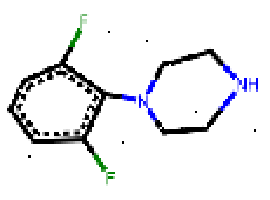 Fc1cccc(F)c1N1CCNCC1